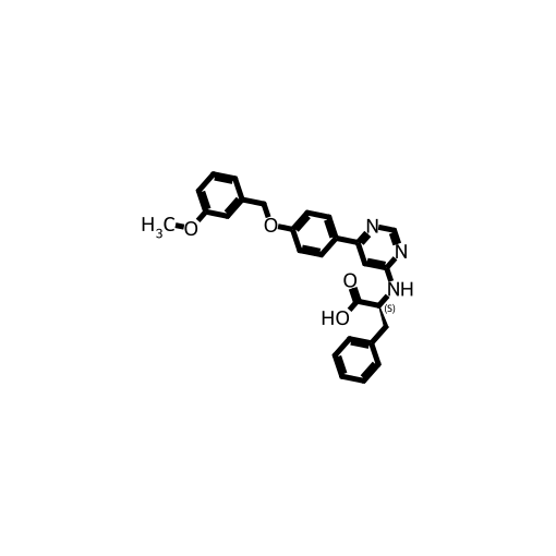 COc1cccc(COc2ccc(-c3cc(N[C@@H](Cc4ccccc4)C(=O)O)ncn3)cc2)c1